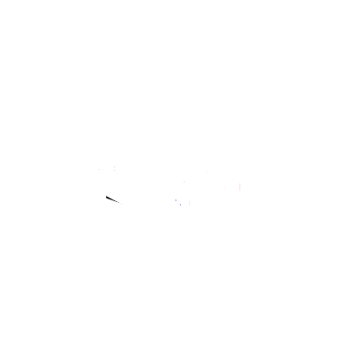 O=C(O)/C=C\C(=O)O.OC[C@H]1CNCCO1